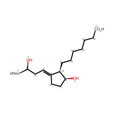 CCCCCC(O)CC=C1CC[C@H](O)[C@@H]1CCCCCCC(=O)O